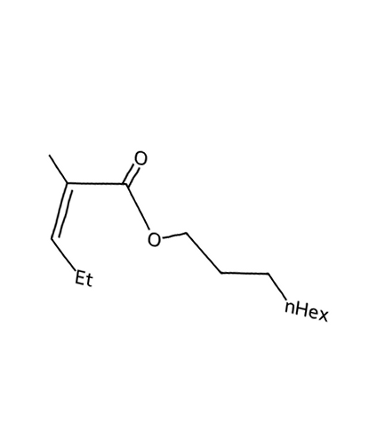 CCC=C(C)C(=O)OCCCCCCCCC